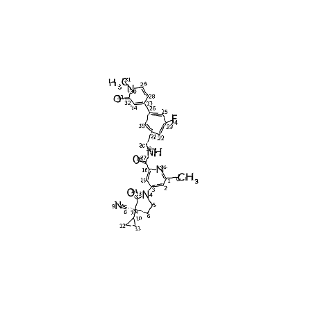 Cc1cc(N2CC[C@@](C#N)(C3CC3)C2=O)cc(C(=O)NCc2cc(F)cc(-c3ccn(C)c(=O)c3)c2)n1